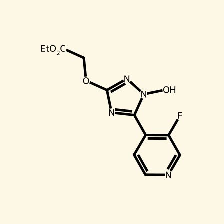 CCOC(=O)COc1nc(-c2ccncc2F)n(O)n1